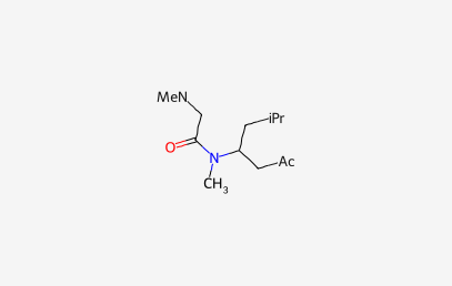 CNCC(=O)N(C)C(CC(C)=O)CC(C)C